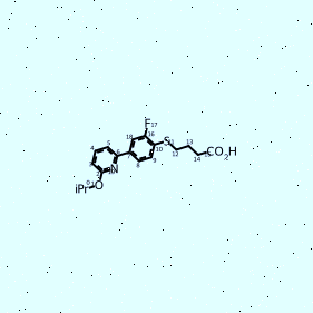 CC(C)Oc1cccc(-c2ccc(SCCCC(=O)O)c(F)c2)n1